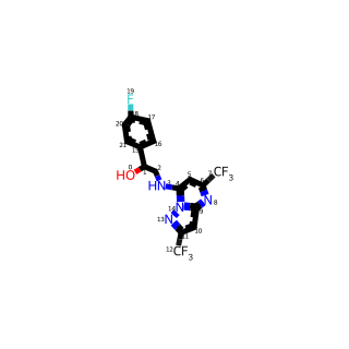 OC(CNc1cc(C(F)(F)F)nc2cc(C(F)(F)F)nn12)c1ccc(F)cc1